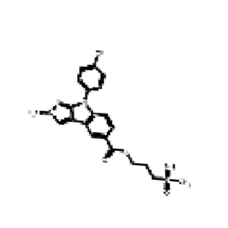 Cn1cc2c3cc(C(=O)OCCCS(C)(=N)=O)ccc3n(-c3ccc(C(F)(F)F)cc3)c2n1